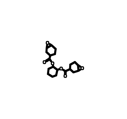 O=C(OC1CCCCC1OC(=O)C1CCC2OC2C1)C1CCC2OC2C1